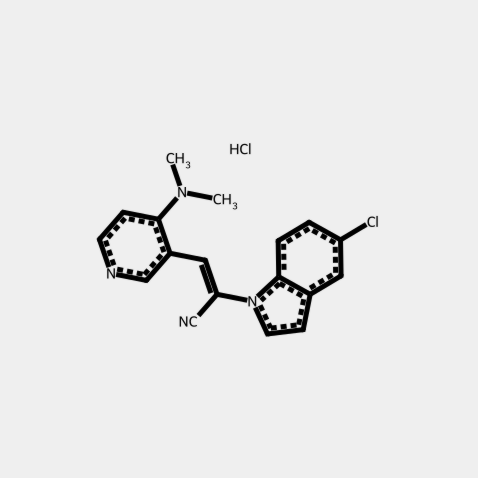 CN(C)c1ccncc1C=C(C#N)n1ccc2cc(Cl)ccc21.Cl